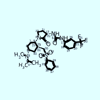 CC(C)N(C)[C@@H]1CC[C@H](N2CC[C@H](NC(=O)Nc3cccc(C(F)(F)F)c3)C2=O)[C@@H](CS(=O)(=O)c2ccccc2)C1